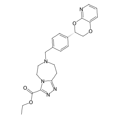 CCOC(=O)c1nnc2n1CCN(Cc1ccc([C@H]3COc4cccnc4O3)cc1)CC2